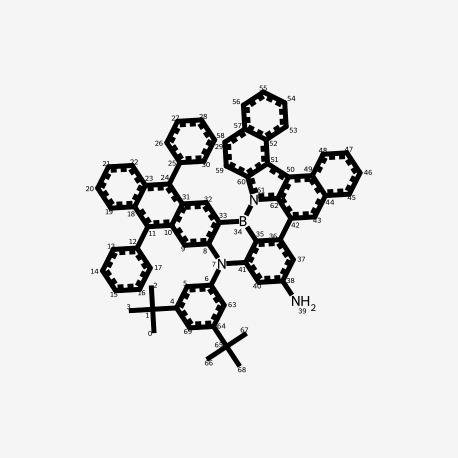 CC(C)(C)c1cc(N2c3cc4c(-c5ccccc5)c5ccccc5c(-c5ccccc5)c4cc3B3c4c(cc(N)cc42)-c2cc4ccccc4c4c5c6ccccc6ccc5n3c24)cc(C(C)(C)C)c1